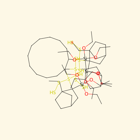 CCO[Si](OCC)(OCC)C1(S(S)(SS)C2CCCCCCCCCCC2(S(S)(SS)C2([Si](OCC)(OCC)OCC)CC3CCC2(CC)C3)S(S)(SS)C2([Si](OCC)(OCC)OCC)CC3CCC2(CC)C3)CC2CCC1(CC)C2